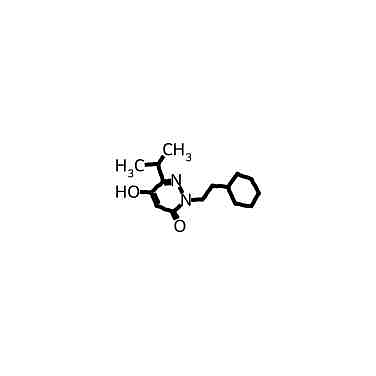 CC(C)c1nn(CCC2CCCCC2)c(=O)cc1O